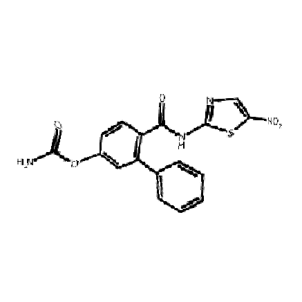 NC(=O)Oc1ccc(C(=O)Nc2ncc([N+](=O)[O-])s2)c(-c2ccccc2)c1